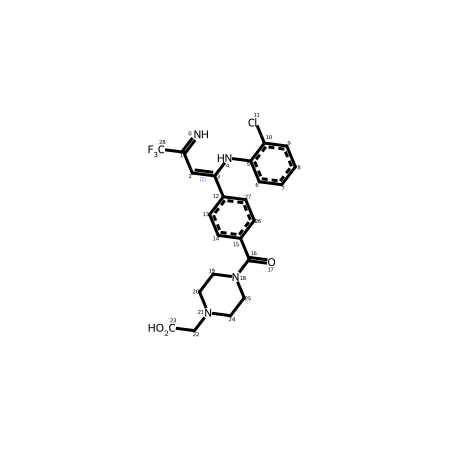 N=C(/C=C(\Nc1ccccc1Cl)c1ccc(C(=O)N2CCN(CC(=O)O)CC2)cc1)C(F)(F)F